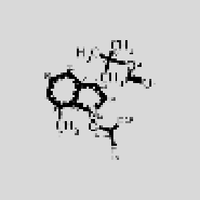 CC(C)(C)OC=O.Cc1cccc2ccn(OC(F)F)c12